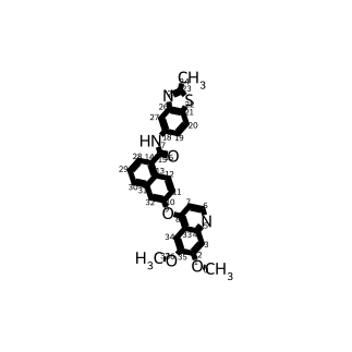 COc1cc2nccc(Oc3ccc4c(C(=O)Nc5ccc6sc(C)nc6c5)cccc4c3)c2cc1OC